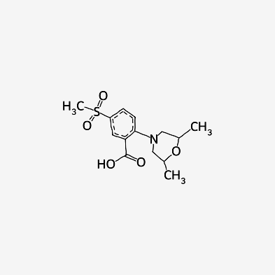 CC1CN(c2ccc(S(C)(=O)=O)cc2C(=O)O)CC(C)O1